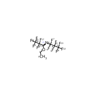 CCO/C(=N\C(F)(F)C(F)(F)C(F)(F)F)C(F)(F)C(F)(F)F